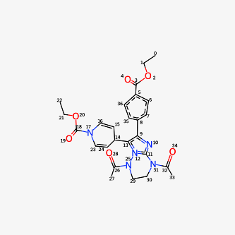 CCOC(=O)c1ccc(-c2nc3n(c2C2C=CN(C(=O)OCC)C=C2)N(C(C)=O)CCN3C(C)=O)cc1